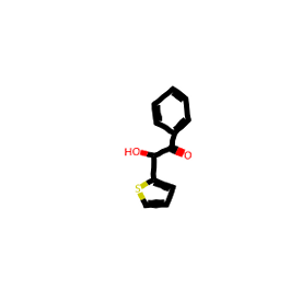 O=C(c1ccccc1)C(O)c1cccs1